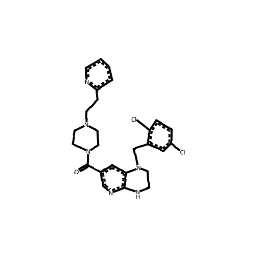 O=C(c1cnc2c(c1)N(Cc1cc(Cl)ccc1Cl)CCN2)N1CCN(CCc2ccccn2)CC1